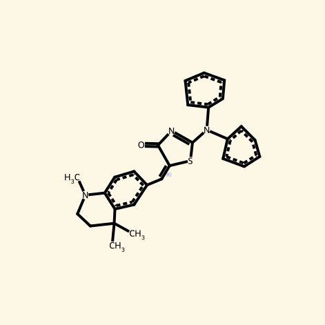 CN1CCC(C)(C)c2cc(/C=C3/SC(N(c4ccccc4)c4ccccc4)=NC3=O)ccc21